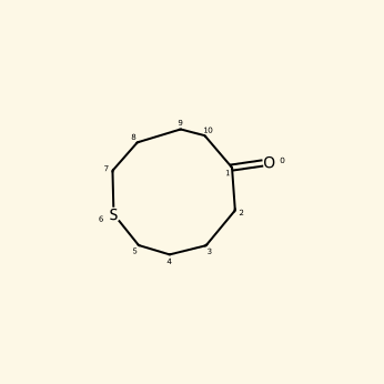 O=C1CCCCSCCCC1